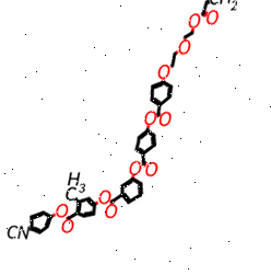 [C-]#[N+]c1ccc(OC(=O)c2ccc(OC(=O)c3cccc(OC(=O)c4ccc(OC(=O)c5ccc(OCCOCCOC(=O)C=C)cc5)cc4)c3)cc2C)cc1